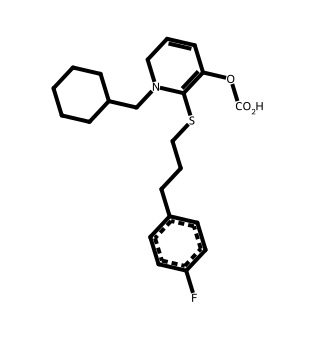 O=C(O)OC1=C(SCCCc2ccc(F)cc2)N(CC2CCCCC2)CC=C1